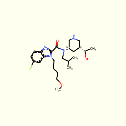 COCCCCn1c(C(=O)N(CC(C)C)[C@@H]2CNC[C@H](C(C)O)C2)nc2ccc(F)cc21